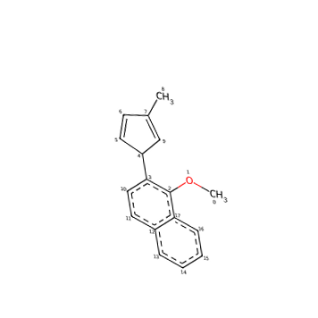 COc1c(C2C=CC(C)=C2)ccc2ccccc12